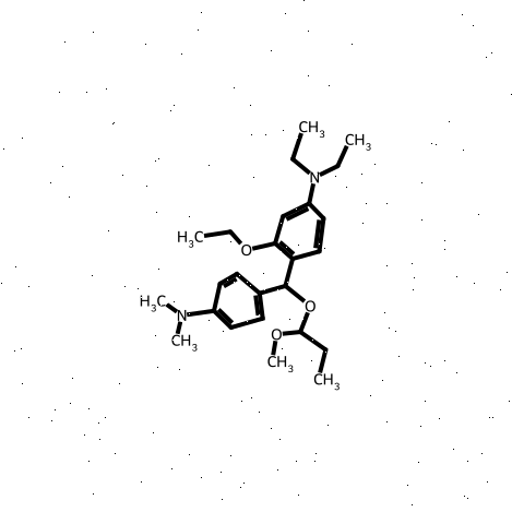 CCOc1cc(N(CC)CC)ccc1C(OC(CC)OC)c1ccc(N(C)C)cc1